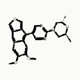 COc1cc2cc3cocc3c(-c3cnc(N4C[C@H](C)O[C@@H](C)C4)nc3)c2cc1OC